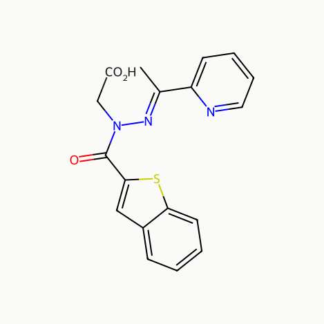 CC(=NN(CC(=O)O)C(=O)c1cc2ccccc2s1)c1ccccn1